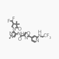 Cn1cc(NC(=O)c2coc(-c3ccnc(NCC(F)(F)F)c3)n2)c(N2CC(C(F)F)C(C)(C)C2=O)n1